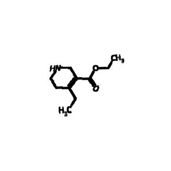 CCOC(=O)C1=C(CC)CCNC1